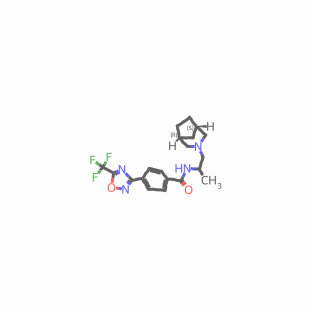 CC(CN1C[C@@H]2CC[C@@H](C2)C1)NC(=O)c1ccc(-c2noc(C(F)(F)F)n2)cc1